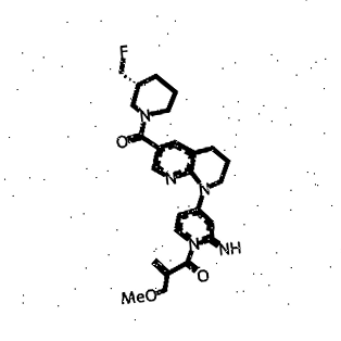 C=C(COC)C(=O)n1ccc(N2CCCc3cc(C(=O)N4CCC[C@@H](CF)C4)cnc32)cc1=N